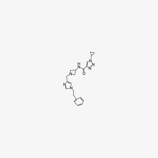 O=C(NC1CN(Cc2cn(CCc3ccccc3)cn2)C1)c1cn(C2CC2)nn1